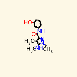 CCn1nc(C(=O)Nc2cccc(O)c2)c(C)c1NC